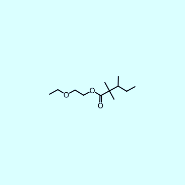 CCOCCOC(=O)C(C)(C)C(C)CC